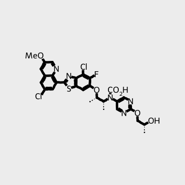 COc1cnc2c(-c3nc4c(Cl)c(F)c(O[C@@H](C)[C@@H](C)N(C(=O)O)c5cnc(OC[C@@H](C)O)nc5)cc4s3)cc(Cl)cc2c1